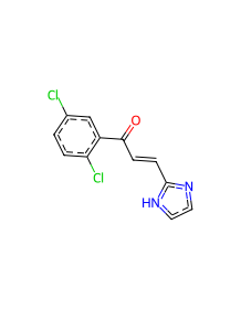 O=C(C=Cc1ncc[nH]1)c1cc(Cl)ccc1Cl